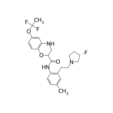 Cc1ccc(NC(=O)C2CNc3cc(OC(C)(F)F)ccc3O2)c(CCN2CC[C@H](F)C2)c1